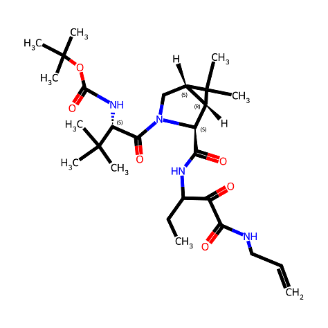 C=CCNC(=O)C(=O)C(CC)NC(=O)[C@@H]1[C@@H]2[C@H](CN1C(=O)[C@@H](NC(=O)OC(C)(C)C)C(C)(C)C)C2(C)C